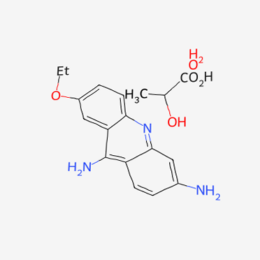 CC(O)C(=O)O.CCOc1ccc2nc3cc(N)ccc3c(N)c2c1.O